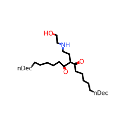 CCCCCCCCCCCCCCCC(=O)C(CCNCCO)C(=O)CCCCCCCCCCCCCCC